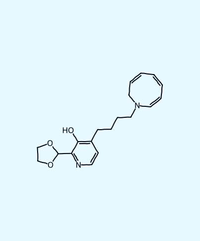 Oc1c(CCCCN2C=CC=CC=CC2)ccnc1C1OCCO1